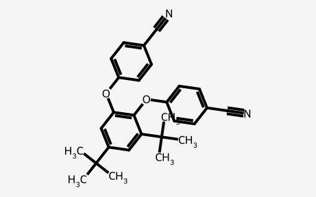 CC(C)(C)c1cc(Oc2ccc(C#N)cc2)c(Oc2ccc(C#N)cc2)c(C(C)(C)C)c1